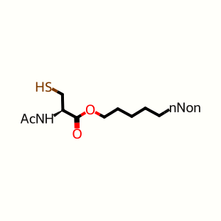 CCCCCCCCCCCCCCOC(=O)[C@H](CS)NC(C)=O